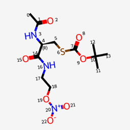 CC(=O)N[C@@H](CSC(=O)OC(C)(C)C)C(=O)NCCO[N+](=O)[O-]